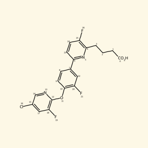 O=C(O)CCCc1nc(-c2ccc(Oc3ncc(Cl)cc3F)c(F)c2)ccc1F